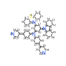 c1ccc2c(c1)Sc1ccccc1N2c1cc(N(c2ccc(-c3ccncc3)cc2)c2ccc(-c3ccncc3)cc2)cc(-n2c3ccccc3c3ccccc32)c1